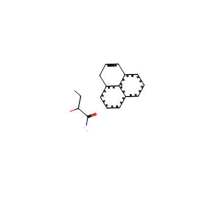 C1=Cc2cccc3cccc(c23)C1.NC(=O)C(O)CC(=O)O